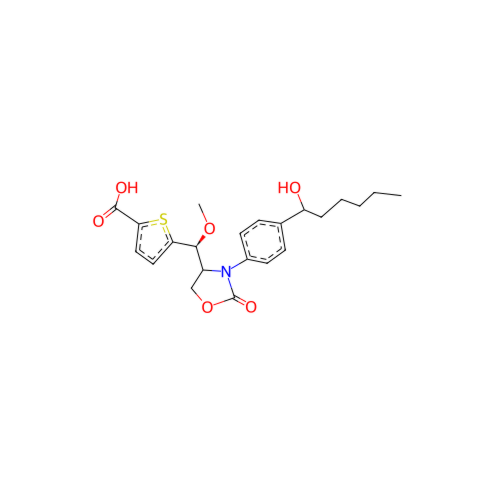 CCCCCC(O)c1ccc(N2C(=O)OCC2[C@H](OC)c2ccc(C(=O)O)s2)cc1